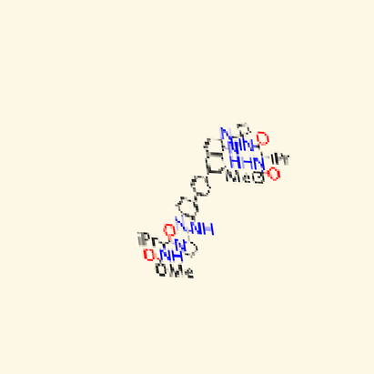 COC(=O)N[C@H](C(=O)NC1(c2nc3ccc4cc(-c5ccc(-c6ccc7nc([C@@H]8CCCN8C(=O)[C@@H](NC(=O)OC)C(C)C)[nH]c7c6)cc5)ccc4c3[nH]2)CCC1)C(C)C